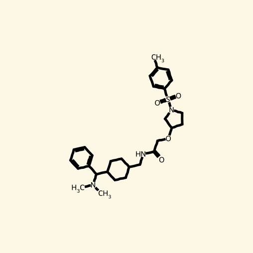 Cc1ccc(S(=O)(=O)N2CCC(OCC(=O)NCC3CCC(C(c4ccccc4)N(C)C)CC3)C2)cc1